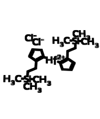 C[Si](C)(C)CCC1=[C]([Hf+2][C]2=C(CC[Si](C)(C)C)C=CC2)CC=C1.[Cl-].[Cl-]